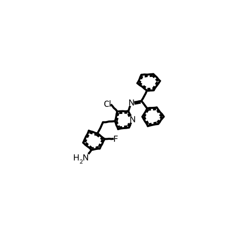 Nc1ccc(Cc2ccnc(N=C(c3ccccc3)c3ccccc3)c2Cl)c(F)c1